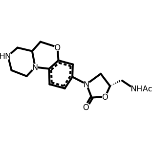 CC(=O)NC[C@H]1CN(c2ccc3c(c2)OCC2CNCCN32)C(=O)O1